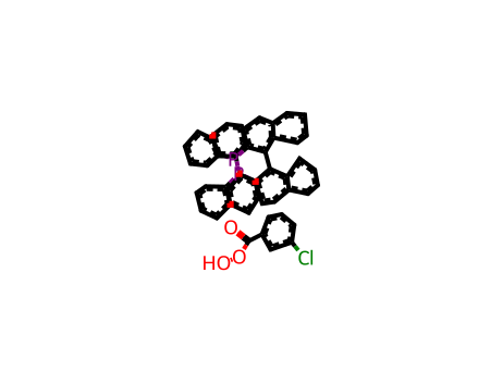 O=C(OO)c1cccc(Cl)c1.c1ccc(P(c2ccccc2)c2ccc3ccccc3c2-c2c(P(c3ccccc3)c3ccccc3)ccc3ccccc23)cc1